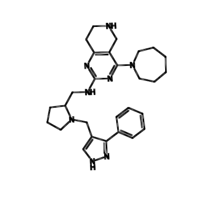 c1ccc(-c2n[nH]cc2CN2CCCC2CNc2nc3c(c(N4CCCCCC4)n2)CNCC3)cc1